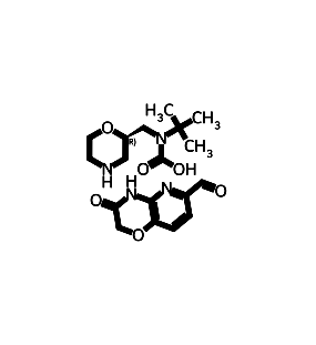 CC(C)(C)N(C[C@H]1CNCCO1)C(=O)O.O=Cc1ccc2c(n1)NC(=O)CO2